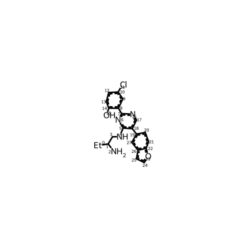 CCC(N)CNc1nc(-c2cc(Cl)ccc2O)ncc1-c1ccc2occc2c1